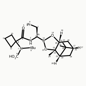 CC(C)C[C@H](NC(=O)C1(N(C(=O)O)C(C)(C)C)CCC1)B1O[C@@H]2C[C@@H]3C[C@@H](C3(C)C)[C@]2(C)O1